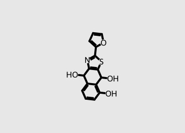 Oc1cccc2c1C(O)c1sc(-c3ccco3)nc1C2O